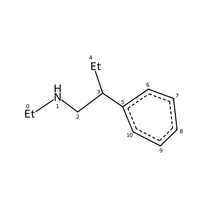 CCNCC(CC)c1ccccc1